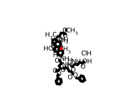 COC(=O)CCC(C)[C@H]1CC[C@H]2[C@@H]3[C@H](O)C[C@@H]4C[C@@H](NC(=O)C(CCC(=O)OCc5ccccc5)NC(=O)C(CCC(=O)OCc5ccccc5)NC(=O)C(N)CCC(=O)O)CC[C@]4(C)[C@H]3C[C@H](O)[C@]12C.Cl